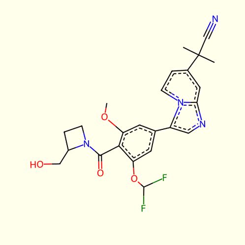 COc1cc(-c2cnc3cc(C(C)(C)C#N)ccn23)cc(OC(F)F)c1C(=O)N1CCC1CO